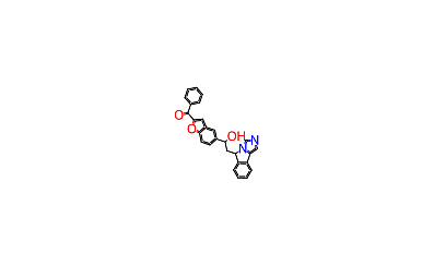 O=C(c1ccccc1)c1cc2cc(C(O)CC3c4ccccc4-c4cncn43)ccc2o1